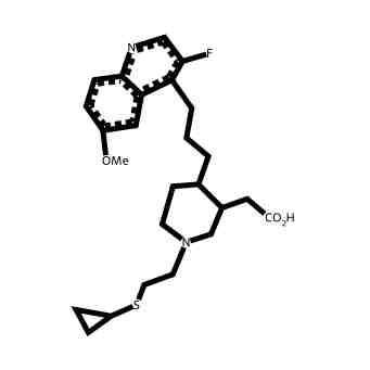 COc1ccc2ncc(F)c(CCCC3CCN(CCSC4CC4)CC3CC(=O)O)c2c1